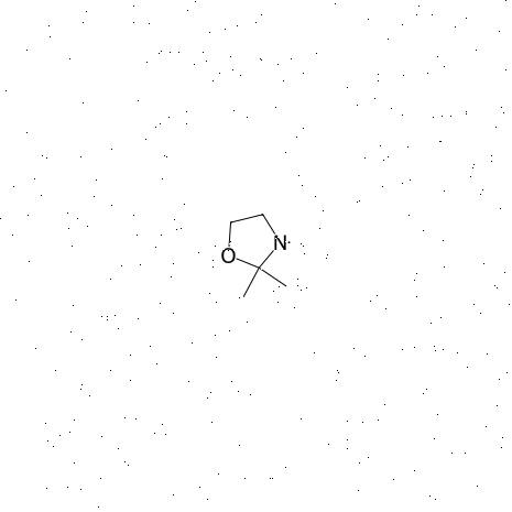 CC1(C)[N]CCO1